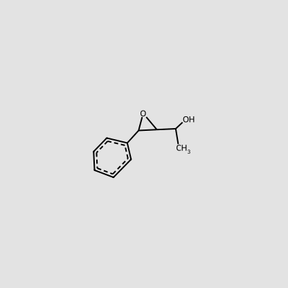 CC(O)C1OC1c1ccccc1